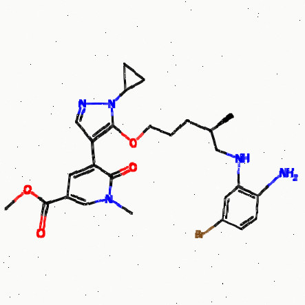 COC(=O)c1cc(-c2cnn(C3CC3)c2OCCC[C@@H](C)CNc2cc(Br)ccc2N)c(=O)n(C)c1